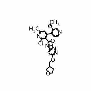 COc1cnccc1-c1cc(C)nc(Cl)c1C(=O)Nc1nnc(OCC2CCOC2)s1